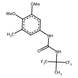 COc1cc(NC(=O)NC(C)(C(F)(F)F)C(F)(F)F)cc(C)c1OC